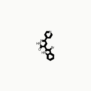 O=c1[nH]nc(-c2ccncc2)cc1-c1[nH]c2ccccc2c1Br